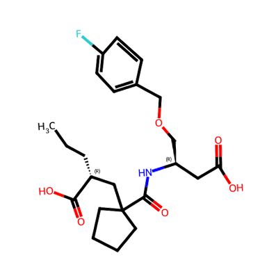 CCC[C@H](CC1(C(=O)N[C@@H](COCc2ccc(F)cc2)CC(=O)O)CCCC1)C(=O)O